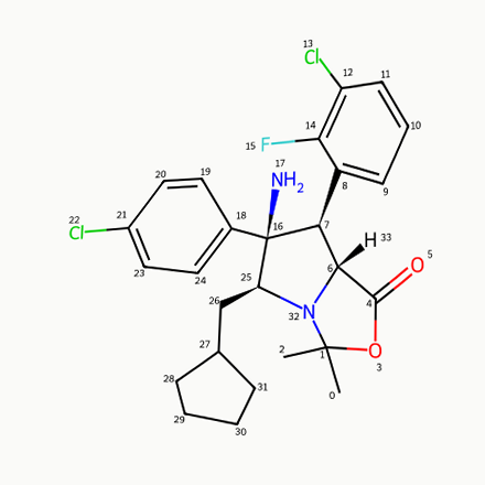 CC1(C)OC(=O)[C@H]2[C@H](c3cccc(Cl)c3F)[C@@](N)(c3ccc(Cl)cc3)[C@H](CC3CCCC3)N21